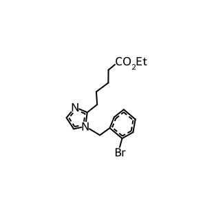 CCOC(=O)CCCCc1nccn1Cc1ccccc1Br